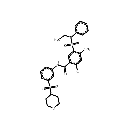 CCN(c1ccccc1)S(=O)(=O)c1cc(C(=O)Nc2cccc(S(=O)(=O)N3CCOCC3)c2)c(Cl)cc1C